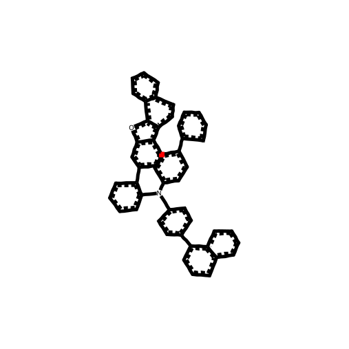 c1ccc(-c2ccc(N(c3ccc(-c4cccc5ccccc45)cc3)c3ccccc3-c3ccc4c(c3)oc3c5ccccc5ccc43)cc2)cc1